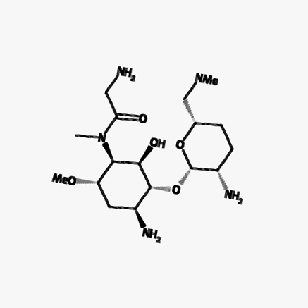 CNC[C@@H]1CC[C@H](N)[C@H](O[C@H]2[C@H](O)[C@H](N(C)C(=O)CN)[C@@H](OC)C[C@@H]2N)O1